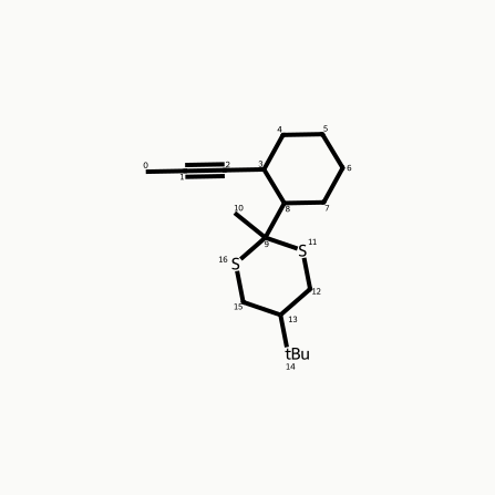 CC#CC1CCCCC1C1(C)SCC(C(C)(C)C)CS1